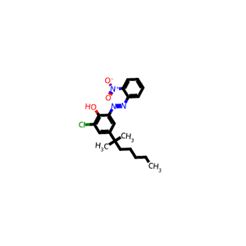 CCCCCC(C)(C)c1cc(Cl)c(O)c(N=Nc2ccccc2[N+](=O)[O-])c1